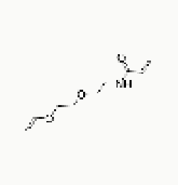 C=COCCOCCNC(=O)C=C